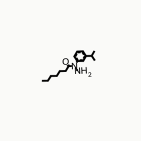 CCCCCCC(=O)N(N)c1cccc(C(C)C)c1